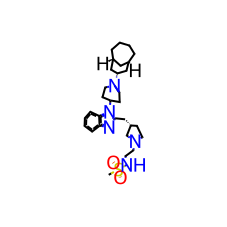 CS(=O)(=O)NCCN1CC[C@@H](Cc2nc3ccccc3n2C2CCN([C@@H]3C[C@@H]4CCCC[C@@H](C4)C3)CC2)C1